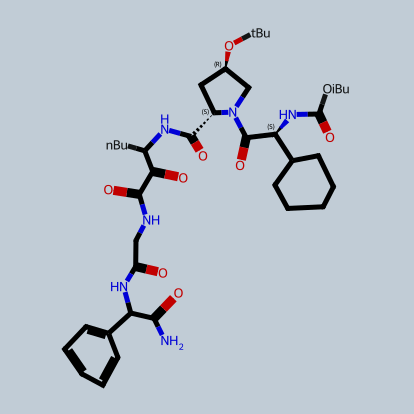 CCCCC(NC(=O)[C@@H]1C[C@@H](OC(C)(C)C)CN1C(=O)[C@@H](NC(=O)OCC(C)C)C1CCCCC1)C(=O)C(=O)NCC(=O)NC(C(N)=O)c1ccccc1